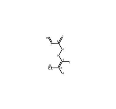 C=CC(=C)CCC(C)=C(C)CC